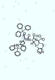 Cc1snnc1/C=C\C1=C(C(=O)O)N2C(=O)C(NC(=O)/C(=N\OC(c3ccccc3)(c3ccccc3)c3ccccc3)c3csc(NC(c4ccccc4)(c4ccccc4)c4ccccc4)n3)[C@@H]2SC1